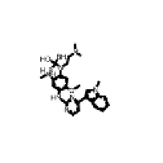 BC(B)(O)N(CCN(C)C)c1cc(OC)c(Nc2nccc(-c3cn(C)c4ccccc34)n2)cc1NC